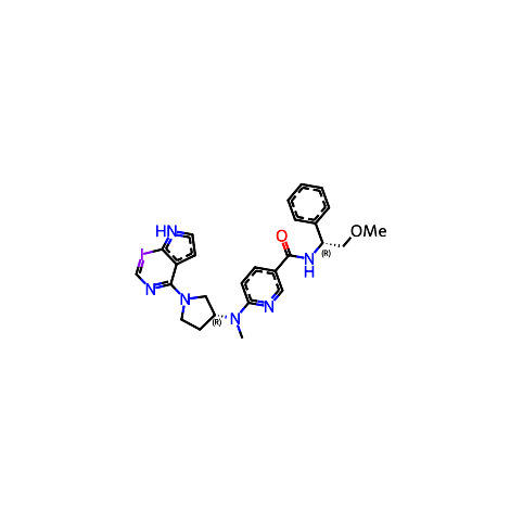 COC[C@H](NC(=O)c1ccc(N(C)[C@@H]2CCN(C3=NC=Ic4[nH]ccc43)C2)nc1)c1ccccc1